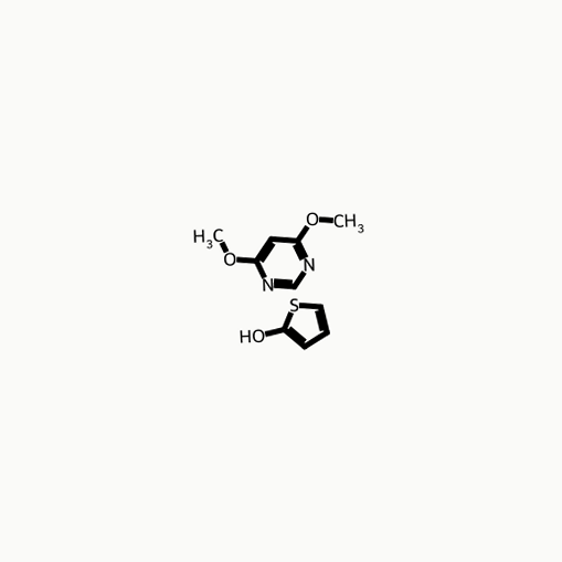 COc1cc(OC)ncn1.Oc1cccs1